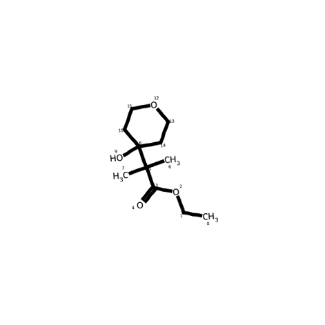 CCOC(=O)C(C)(C)C1(O)CCOCC1